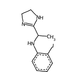 CC(Nc1ccccc1I)C1=NCCN1